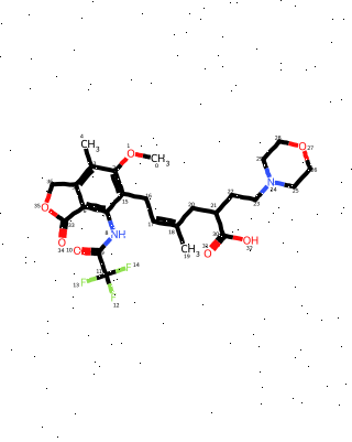 COc1c(C)c2c(c(NC(=O)C(F)(F)F)c1CC=C(C)CC(CCN1CCOCC1)C(=O)O)C(=O)OC2